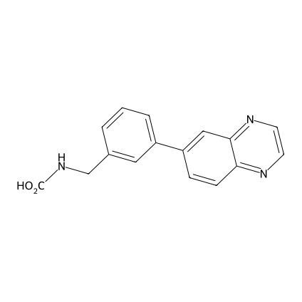 O=C(O)NCc1cccc(-c2ccc3nccnc3c2)c1